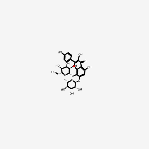 C[C@@H]1O[C@@H](Oc2cc(O)c3c(=O)c(O)c(-c4ccc(O)cc4)oc3c2O[C@@H]2O[C@H](CO)[C@@H](O)[C@H](O)[C@H]2O)[C@H](O)[C@H](O)[C@H]1O